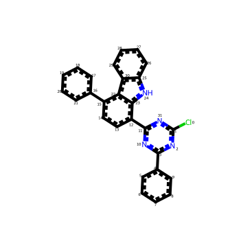 Clc1nc(-c2ccccc2)nc(-c2ccc(-c3ccccc3)c3c2[nH]c2ccccc23)n1